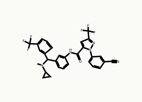 CN(C1CC1)C(c1cccc(NC(=O)c2cc(C(F)(F)F)nn2-c2cccc(C#N)c2)c1)c1cccc(C(F)(F)F)c1